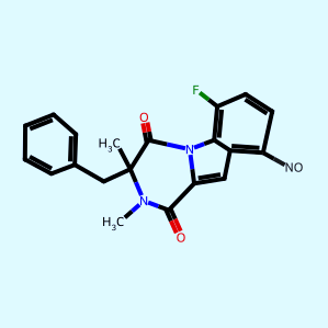 CN1C(=O)c2cc3c(N=O)ccc(F)c3n2C(=O)C1(C)Cc1ccccc1